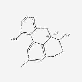 CCCN1CCc2cc(C)cc3c2[C@H]1Cc1cccc(O)c1-3